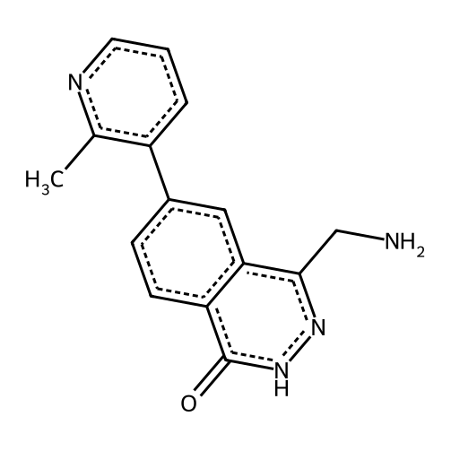 Cc1ncccc1-c1ccc2c(=O)[nH]nc(CN)c2c1